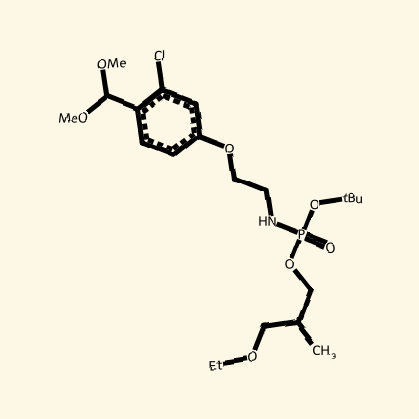 CCOCC(C)COP(=O)(NCCOc1ccc(C(OC)OC)c(Cl)c1)OC(C)(C)C